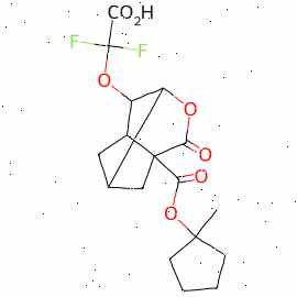 CC1(OC(=O)C23CC4CC2C(OC(F)(F)C(=O)O)C4OC3=O)CCCC1